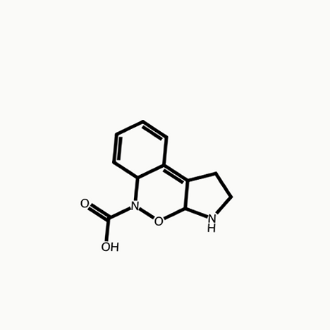 O=C(O)N1OC2NCCC2=C2C=CC=CC21